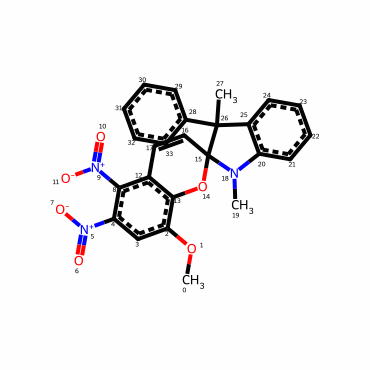 COc1cc([N+](=O)[O-])c([N+](=O)[O-])c2c1OC1(C=C2)N(C)c2ccccc2C1(C)c1ccccc1